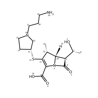 C[C@@H](O)[C@H]1C(=O)N2C(C(=O)O)=C(S[C@@H]3CCN(CCCN)C3)[C@H](C)[C@H]12